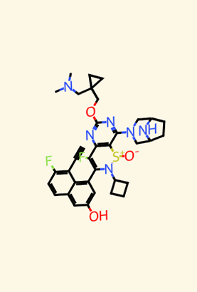 C#Cc1c(F)ccc2cc(O)cc(C3=C(F)c4nc(OCC5(CN(C)C)CC5)nc(N5CC6CCC(C5)N6)c4[S+]([O-])N3C3CCC3)c12